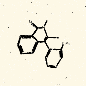 COc1ccccc1-c1c(C)n(C)c(=O)c2ccccc12